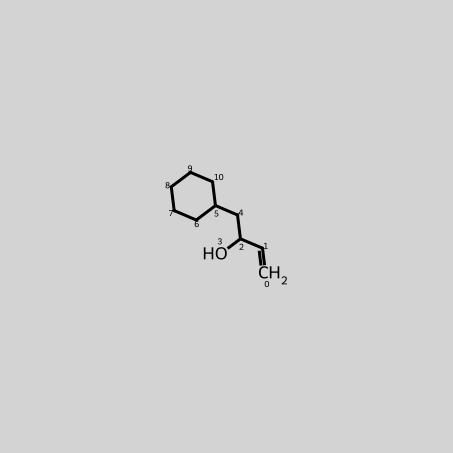 C=CC(O)CC1CCCCC1